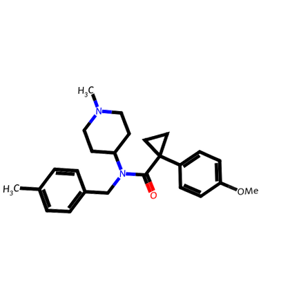 COc1ccc(C2(C(=O)N(Cc3ccc(C)cc3)C3CCN(C)CC3)CC2)cc1